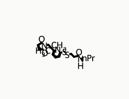 CCCNC(=O)CCSSc1cccc(C(C)(C)CN2C(=O)C=CC2=O)n1